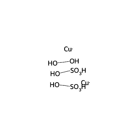 O=S(=O)(O)O.O=S(=O)(O)O.OO.[Cu].[Cu]